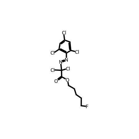 O=C(OCCCCCF)C(Cl)(Cl)N=Nc1c(Cl)cc(Cl)cc1Cl